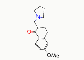 COc1ccc2c(c1)CCC(CN1CCCC1)C2=O